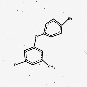 Cc1cc(F)cc(Oc2ccc(C(C)C)cc2)c1